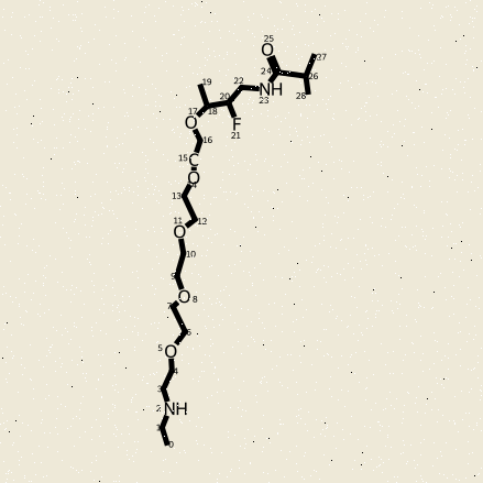 CCNCCOCCOCCOCCOCCOC(C)C(F)CNC(=O)C(C)C